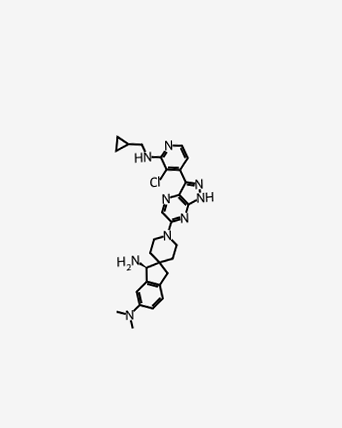 CN(C)c1ccc2c(c1)[C@@H](N)C1(CCN(c3cnc4c(-c5ccnc(NCC6CC6)c5Cl)n[nH]c4n3)CC1)C2